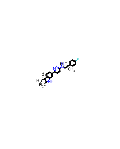 C=C1Nc2cc(-c3ccc(NCC(C)(C)c4ccc(F)cc4)nn3)ccc2C1(C)C